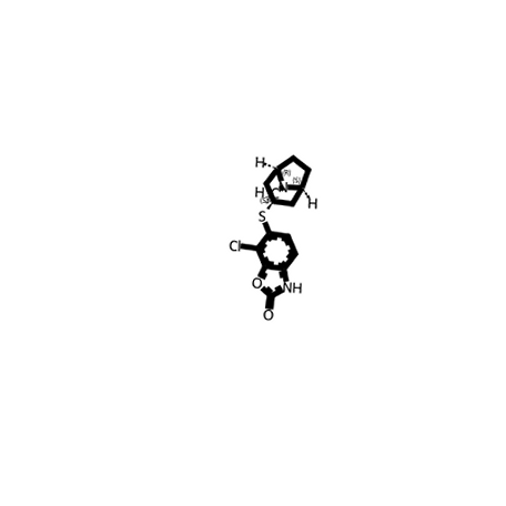 CN1[C@@H]2CC[C@H]1C[C@H](Sc1ccc3[nH]c(=O)oc3c1Cl)C2